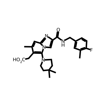 Cc1cc(CNC(=O)c2cn3c(N4CCC(C)(C)CC4)c(CC(=O)O)c(C)cc3n2)ccc1F